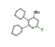 CC(C)(C)c1cc(F)cc(-c2ccccc2)c1-c1ccccc1